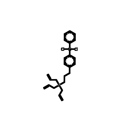 C=CC[Si](CC=C)(CC=C)CCCc1ccc([Si](Cl)(Cl)c2ccccc2)cc1